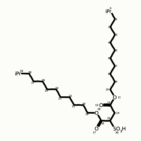 CC(C)CCCCCCCCCCOC(=O)CC(C(=O)OCCCCCCCCCCC(C)C)S(=O)(=O)O